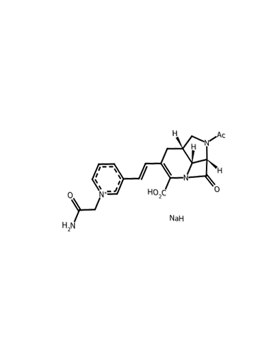 CC(=O)N1C[C@H]2CC(/C=C/c3ccc[n+](CC(N)=O)c3)=C(C(=O)O)N3C(=O)[C@@H]1[C@@H]23.[NaH]